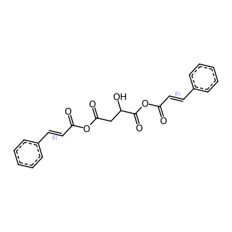 O=C(/C=C/c1ccccc1)OC(=O)CC(O)C(=O)OC(=O)/C=C/c1ccccc1